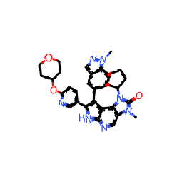 Cn1ncc2cc(-c3c(-c4ccc(OC5CCOCC5)nc4)[nH]c4ncc5c(c34)n(C3CCCC3)c(=O)n5C)ccc21